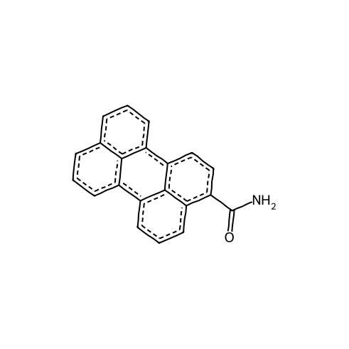 NC(=O)c1ccc2c3cccc4cccc(c5cccc1c52)c43